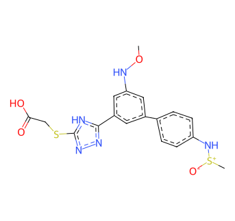 CONc1cc(-c2ccc(N[S+](C)[O-])cc2)cc(-c2nnc(SCC(=O)O)[nH]2)c1